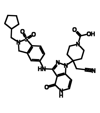 N#CCC1(n2nc(Nc3ccc4c(c3)CN(CC3CCCC3)S4(=O)=O)c3c(=O)[nH]ccc32)CCN(C(=O)O)CC1